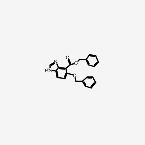 O=C(OCc1ccccc1)c1c(OCc2ccccc2)ccc2[nH]cnc12